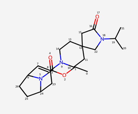 CCOC(=O)N1C2C=C(N3CCC4(CC3)CC(=O)N(C(C)C)C4)CC1CC2